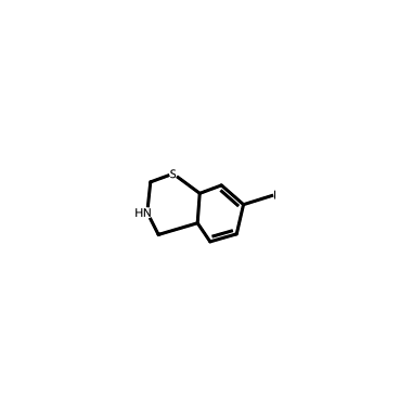 IC1=CC2SCNCC2C=C1